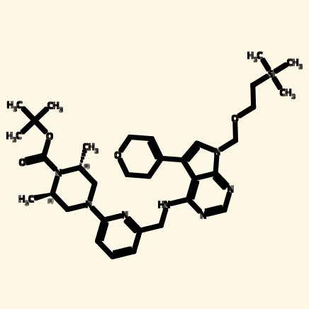 C[C@@H]1CN(c2cccc(CNc3ncnc4c3c(C3=CCOCC3)cn4COCC[Si](C)(C)C)n2)C[C@@H](C)N1C(=O)OC(C)(C)C